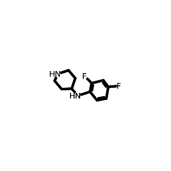 Fc1ccc(NC2CCNCC2)c(F)c1